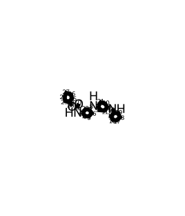 O=C(Nc1cccc(Nc2ccc(Nc3ccccc3)cc2)c1)Oc1ccccc1